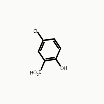 O=C(O)c1cc(Cl)c[c]c1O